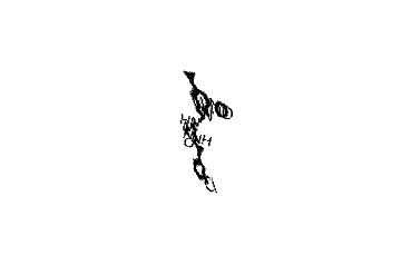 O=C(Nc1cc(NCc2cn3cc(C4CC4)cc(N4CCOCC4)c3n2)ncn1)C1CC1c1cccc(Cl)c1